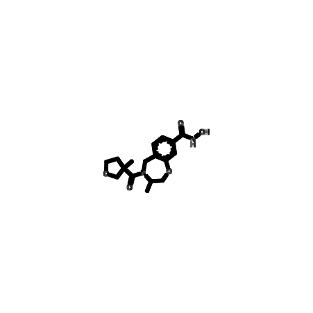 CC1COc2cc(C(=O)NO)ccc2CN1C(=O)C1(C)CCOC1